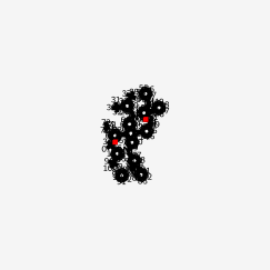 CC(C)(C)c1cc(N(c2ccc3c(-c4cccc([Si](C)(C)C)c4)c4cc(N(c5cc(C(C)(C)C)cc(C(C)(C)C)c5)c5ccc6c7ccccc7n(-c7ccccc7)c6c5)ccc4c(-c4cccc([Si](C)(C)C)c4)c3c2)c2ccc3c4ccccc4n(-c4ccccc4)c3c2)cc(C(C)(C)C)c1